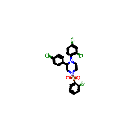 O=S(=O)(c1ccccc1Br)N1CCN(c2ccc(Cl)cc2Cl)C(c2ccc(Cl)cc2)C1